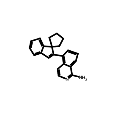 Nc1nccc2c(C3=Cc4ccccc4C34CCCC4)cccc12